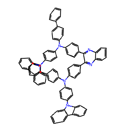 c1ccc(-c2ccc(N(c3ccc(-c4nc5ccccc5nc4-c4ccc(N(c5ccc(-c6ccccc6)cc5)c5ccc(-n6c7ccccc7c7ccccc76)cc5)cc4)cc3)c3ccc(-n4c5ccccc5c5ccccc54)cc3)cc2)cc1